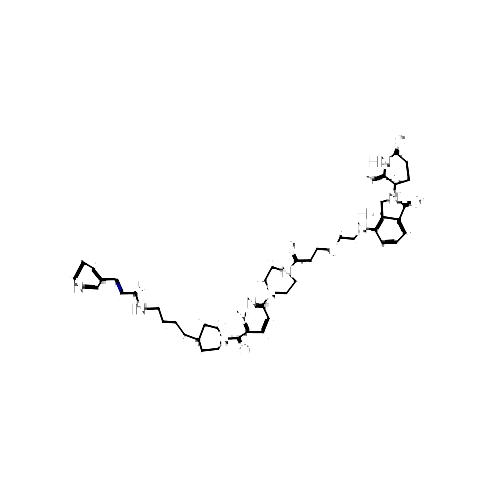 O=C(/C=C/c1cccnc1)NCCCCC1CCN(C(=O)c2ccc(N3CCN(C(=O)CCOCCNc4cccc5c4CN(C4CCC(=O)NC4=O)C5=O)CC3)nn2)CC1